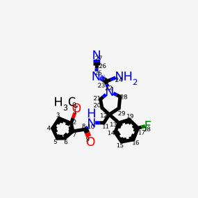 COc1ccccc1C(=O)NCC1(c2cccc(F)c2)CCN(/C(N)=N/C#N)CC1